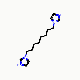 c1c[n+](CCCCCCCC[n+]2cc[nH]c2)c[nH]1